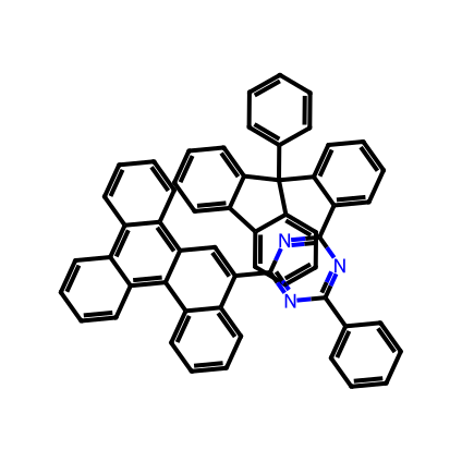 c1ccc(-c2nc(-c3ccccc3C3(c4ccccc4)c4ccccc4-c4ccccc43)nc(-c3cc4c5ccccc5c5ccccc5c4c4ccccc34)n2)cc1